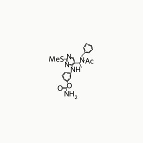 CSc1ncc(C(C)N(Cc2ccccc2)C(C)=O)c(Nc2cccc(OC(N)=O)c2)n1